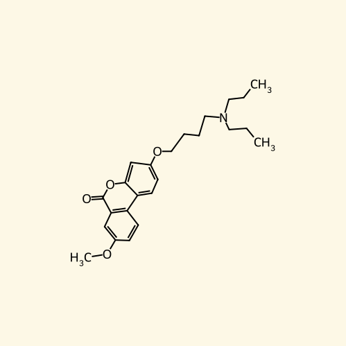 CCCN(CCC)CCCCOc1ccc2c(c1)oc(=O)c1cc(OC)ccc12